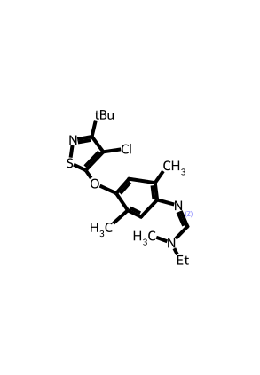 CCN(C)/C=N\c1cc(C)c(Oc2snc(C(C)(C)C)c2Cl)cc1C